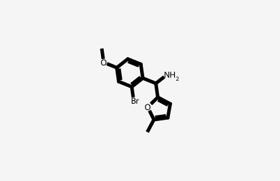 COc1ccc(C(N)c2ccc(C)o2)c(Br)c1